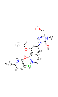 CCn1c(CO)nn(-c2cc(OC(C)C(F)(F)F)c3c(Oc4nc(OC)ccc4Cl)nccc3c2)c1=O